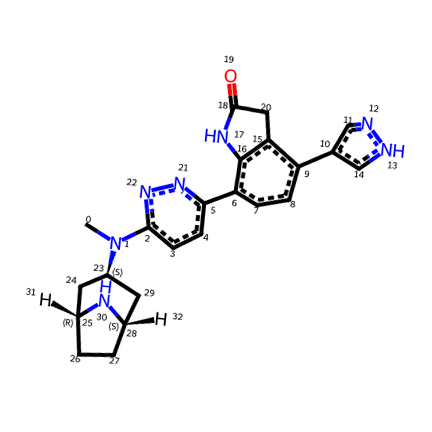 CN(c1ccc(-c2ccc(-c3cn[nH]c3)c3c2NC(=O)C3)nn1)[C@@H]1C[C@H]2CC[C@@H](C1)N2